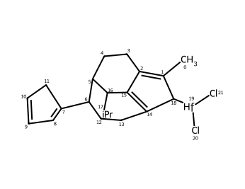 CC1=C2CCC3C(C4=CC=CC4)CCC(=C2C3C(C)C)[CH]1[Hf]([Cl])[Cl]